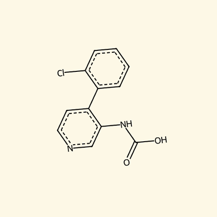 O=C(O)Nc1cnccc1-c1ccccc1Cl